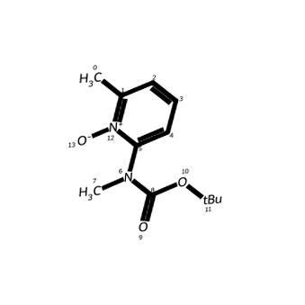 Cc1cccc(N(C)C(=O)OC(C)(C)C)[n+]1[O-]